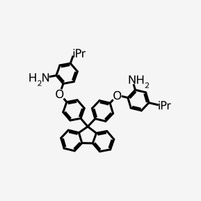 CC(C)c1ccc(Oc2ccc(C3(c4ccc(Oc5ccc(C(C)C)cc5N)cc4)c4ccccc4-c4ccccc43)cc2)c(N)c1